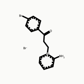 Nc1cccc[n+]1CCC(=O)c1ccc(Br)cc1.[Br-]